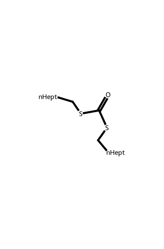 CCCCCCCCSC(=O)SCCCCCCCC